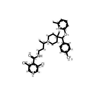 Cc1cccc(OC(c2ccc(C(F)(F)F)cc2)C2(C)CCN(C(C)CCNC(=O)c3c(Cl)cncc3Cl)CC2)n1